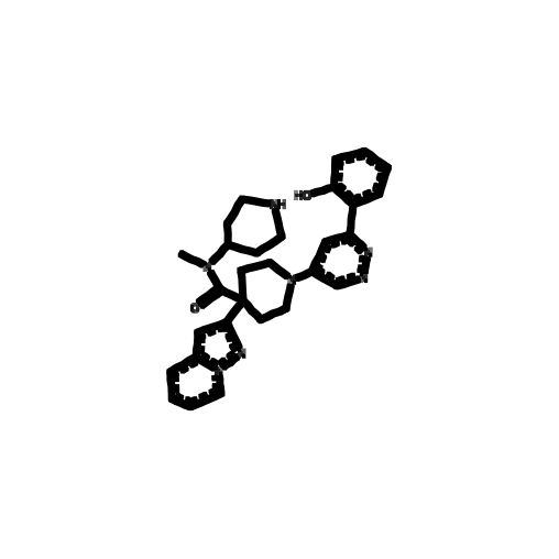 CN(C(=O)C1(c2cc3ccccn3n2)CCN(c2cnnc(-c3ccccc3O)c2)CC1)C1CCNCC1